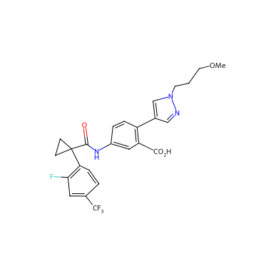 COCCCn1cc(-c2ccc(NC(=O)C3(c4ccc(C(F)(F)F)cc4F)CC3)cc2C(=O)O)cn1